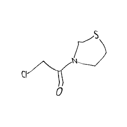 O=C(CCl)N1CCSC1